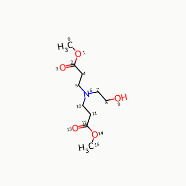 COC(=O)CCN(CCO)CCC(=O)OC